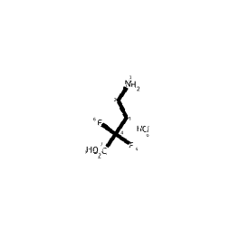 Cl.NCCC(F)(F)C(=O)O